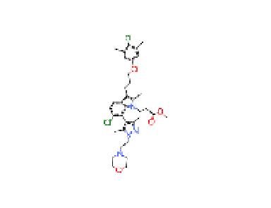 COC(=O)CCn1c(C)c(CCCOc2cc(C)c(Cl)c(C)c2)c2ccc(Cl)c(-c3c(C)nn(CCN4CCOCC4)c3C)c21